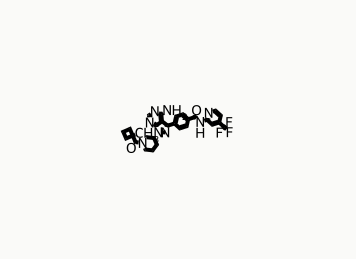 CC1(C(=O)N2CCC[C@@H](n3nc(-c4ccc(C(=O)Nc5cc(C(F)(F)F)ccn5)cc4)c4c(N)ncnc43)C2)CCC1